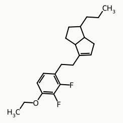 CCCC1CCC2C(CCc3ccc(OCC)c(F)c3F)=CCC12